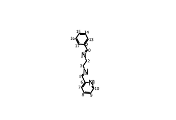 C(=N\CC/N=C/c1ccccn1)/c1ccccc1